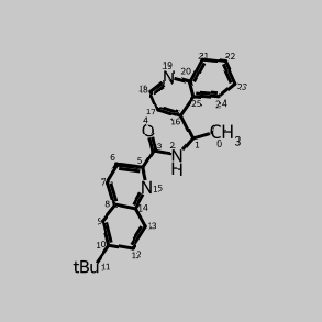 CC(NC(=O)c1ccc2cc(C(C)(C)C)ccc2n1)c1ccnc2ccccc12